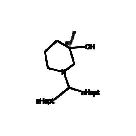 CCCCCCCC(CCCCCCC)N1CCC[C@@](C)(O)C1